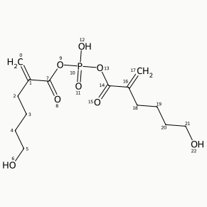 C=C(CCCCO)C(=O)OP(=O)(O)OC(=O)C(=C)CCCCO